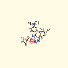 CCN(CC)c1ccc(-c2nc(OCC3CCC3)nnc2-c2ccc(C)cc2)cc1